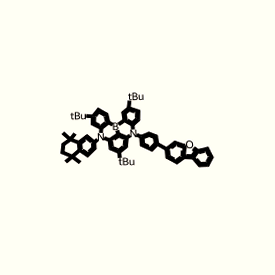 CC(C)(C)c1ccc2c(c1)B1c3ccc(C(C)(C)C)cc3N(c3ccc4c(c3)C(C)(C)CCC4(C)C)c3cc(C(C)(C)C)cc(c31)N2c1ccc(-c2ccc3c(c2)oc2ccccc23)cc1